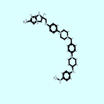 C[C@]1(COc2ccc(N3CCN(Cc4ccc(N5CCC(Oc6ccc(OC(F)(F)F)cc6)CC5)cc4)CC3)cc2)Cn2cc([N+](=O)[O-])nc2O1